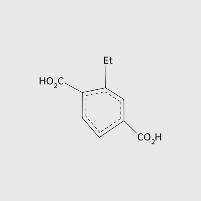 [CH2]Cc1cc(C(=O)O)ccc1C(=O)O